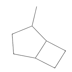 CC1CCC2CCC12